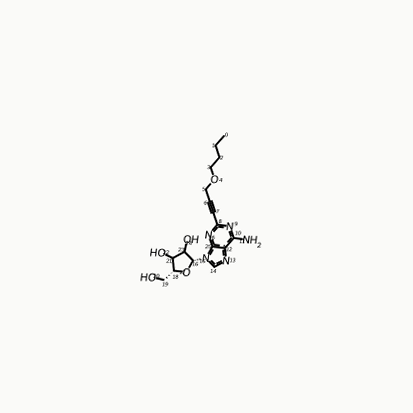 CCCCOCC#Cc1nc(N)c2ncn([C@@H]3O[C@H](CO)C(O)C3O)c2n1